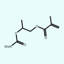 C=C(C)C(=O)OCC(C)OC(=O)NC